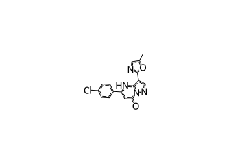 Cc1cnc(-c2cnn3c(=O)cc(-c4ccc(Cl)cc4)[nH]c23)o1